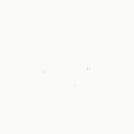 CCCCP(=O)(CCCC)CCCC.Cc1ccccc1